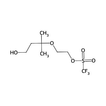 CC(C)(CCO)OCCOS(=O)(=O)C(F)(F)F